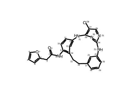 O=C(Cc1ccco1)Nc1ccc2cc1CCc1cccc(c1)Nc1ncc(Cl)c(n1)N2